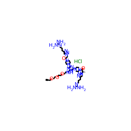 C#CCOCCOCCOCCNc1nc(N2CCN(C(=O)Cn3cc(CCCN=C(N)N)nn3)CC2)nc(N2CCN(C(=O)[C@H](C)n3cc(CCCN=C(N)N)nn3)CC2)n1.Cl